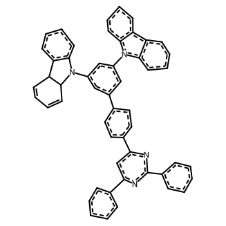 C1=CC2c3ccccc3N(c3cc(-c4ccc(-c5cc(-c6ccccc6)nc(-c6ccccc6)n5)cc4)cc(-n4c5ccccc5c5ccccc54)c3)C2C=C1